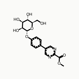 COC(=O)c1ncc(-c2ccc(O[C@H]3O[C@H](CO)[C@@H](O)[C@H](O)[C@@H]3O)cc2)cn1